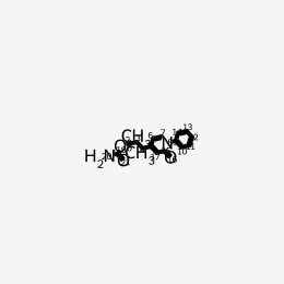 CC(C)(CCc1ccn(-c2ccccc2)c(=O)c1)OC(N)=O